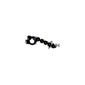 C=C1CC[C@H](c2c(F)cc(N3CCC(N4CCC(c5ccc6c(c5)N5C[C@H](C)CCCCc7c(cnn7C)-c7cc(cc(C)n7)C(=C)/N=C/5N6)CC4)CC3)cc2F)C(=C)N1